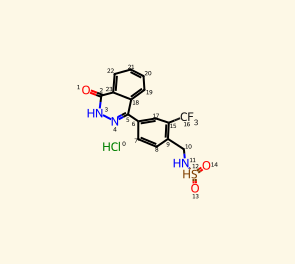 Cl.O=c1[nH]nc(-c2ccc(CN[SH](=O)=O)c(C(F)(F)F)c2)c2ccccc12